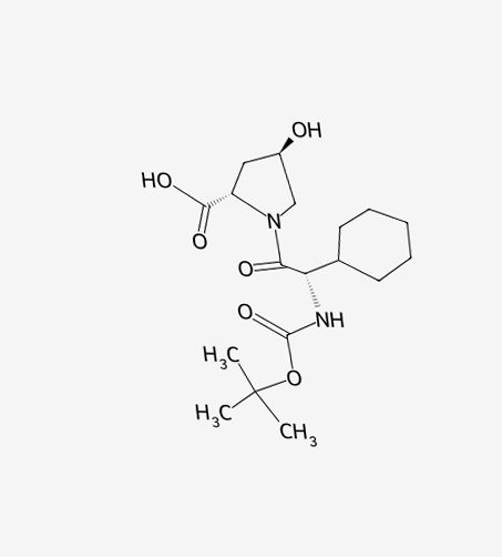 CC(C)(C)OC(=O)N[C@H](C(=O)N1C[C@H](O)C[C@H]1C(=O)O)C1CCCCC1